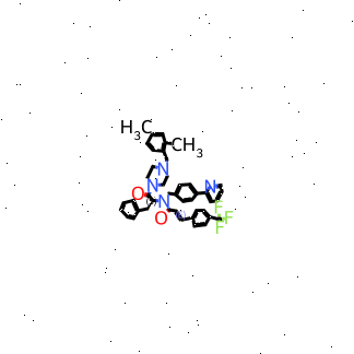 Cc1ccc(CN2CCN(C(=O)[C@H](Cc3ccccc3)N(Cc3ccc(-c4ccccn4)cc3)C(=O)/C=C/c3ccc(C(F)(F)F)cc3)CC2)c(C)c1